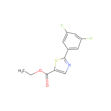 CCOC(=O)c1cnc(-c2cc(F)cc(F)c2)s1